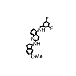 COc1ccc2c(c1)C(Nc1ccc3c(NCc4cc(F)cc(F)c4)cccc3n1)CC2